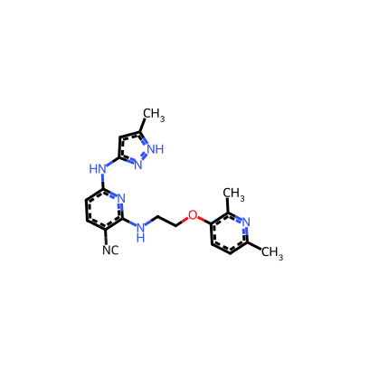 [C-]#[N+]c1ccc(Nc2cc(C)[nH]n2)nc1NCCOc1ccc(C)nc1C